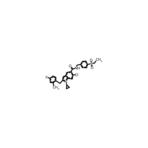 CCS(=O)(=O)c1ccc(CNC(=O)c2cc3cc(Cc4ccc(F)cc4C)n(C4CC4)c3cc2Cl)cc1